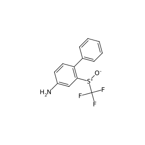 Nc1ccc(-c2ccccc2)c([S+]([O-])C(F)(F)F)c1